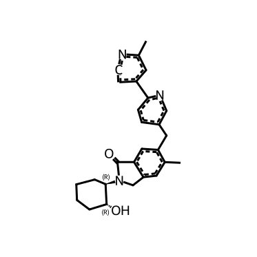 Cc1cc(-c2ccc(Cc3cc4c(cc3C)CN([C@@H]3CCCC[C@H]3O)C4=O)cn2)ccn1